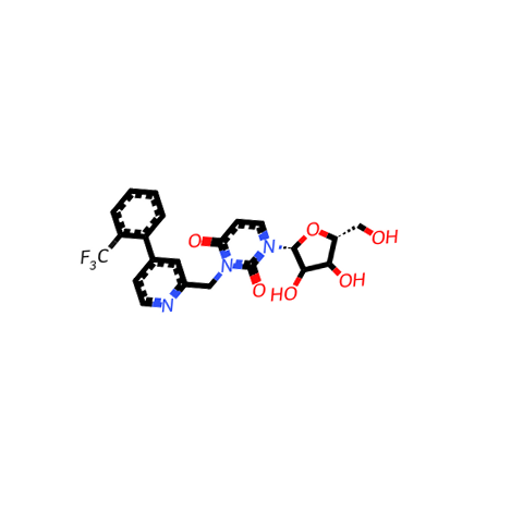 O=c1ccn([C@@H]2O[C@H](CO)C(O)C2O)c(=O)n1Cc1cc(-c2ccccc2C(F)(F)F)ccn1